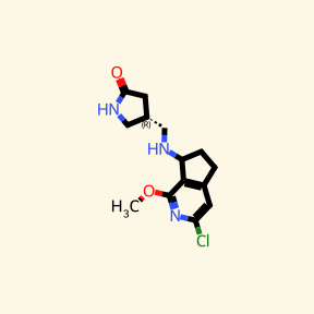 COc1nc(Cl)cc2c1C(NC[C@@H]1CNC(=O)C1)CC2